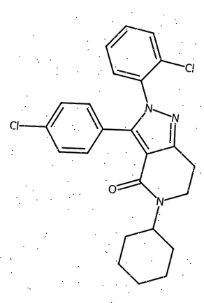 O=C1c2c(nn(-c3ccccc3Cl)c2-c2ccc(Cl)cc2)CCN1C1CCCCC1